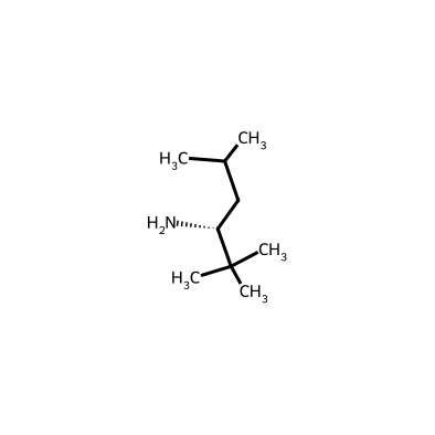 CC(C)C[C@@H](N)C(C)(C)C